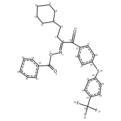 O=C(O/N=C(\CCC1CCCCC1)C(=O)c1ccc(Sc2ccc(C(F)(F)F)cc2)cc1)c1ccccc1